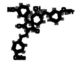 COc1ccc(CCN2C(=O)N(c3cccc(C#N)c3)[C@@]3(CCN(Cc4cccc(OC(C)C)c4)[C@@H](C)C3)C2=O)cc1